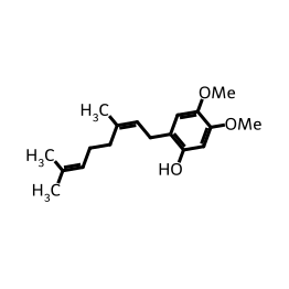 COc1cc(O)c(CC=C(C)CCC=C(C)C)cc1OC